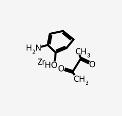 CC(=O)C(C)=O.Nc1ccccc1O.[Zr]